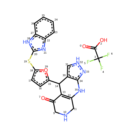 O=C(O)C(F)(F)F.O=C1CNCC2=C1C(c1ccc(Sc3nc4ccccc4[nH]3)o1)c1c[nH]nc1N2